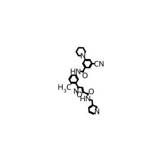 Cc1ccc(NC(=O)c2cc(C#N)cc(N3CCCCC3)c2)cc1-c1cc(C(=O)NCc2cccnc2)on1